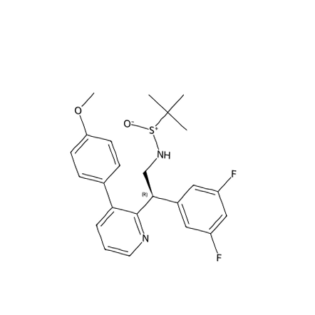 COc1ccc(-c2cccnc2[C@@H](CN[S+]([O-])C(C)(C)C)c2cc(F)cc(F)c2)cc1